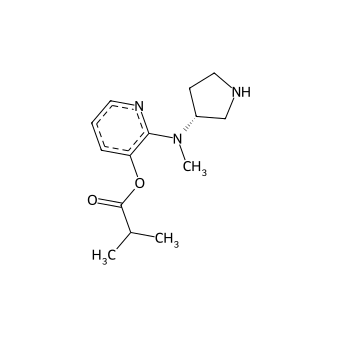 CC(C)C(=O)Oc1cccnc1N(C)[C@@H]1CCNC1